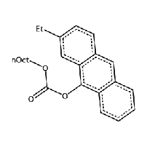 CCCCCCCCOC(=O)Oc1c2ccccc2cc2ccc(CC)cc12